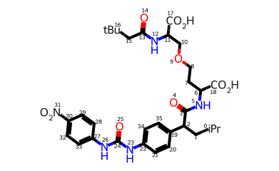 CC(C)CC(C(=O)NC(CCOCC(NC(=O)CC(C)(C)C)C(=O)O)C(=O)O)c1ccc(NC(=O)Nc2ccc([N+](=O)[O-])cc2)cc1